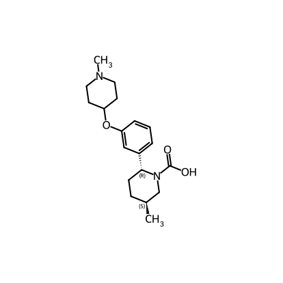 C[C@H]1CC[C@H](c2cccc(OC3CCN(C)CC3)c2)N(C(=O)O)C1